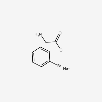 Brc1ccccc1.NCC(=O)[O-].[Na+]